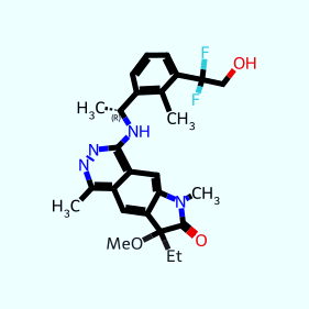 CCC1(OC)C(=O)N(C)c2cc3c(N[C@H](C)c4cccc(C(F)(F)CO)c4C)nnc(C)c3cc21